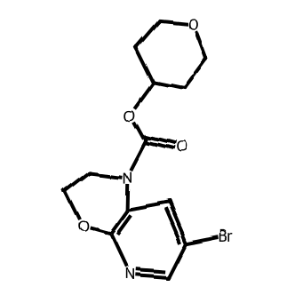 O=C(OC1CCOCC1)N1CCOc2ncc(Br)cc21